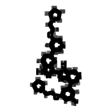 Fc1cc(OCCN2CCCC2)cc(-c2cncc3[nH]c(-c4n[nH]c5ccc(-c6cncc(OCCN7CCCC7)c6)nc45)nc23)c1